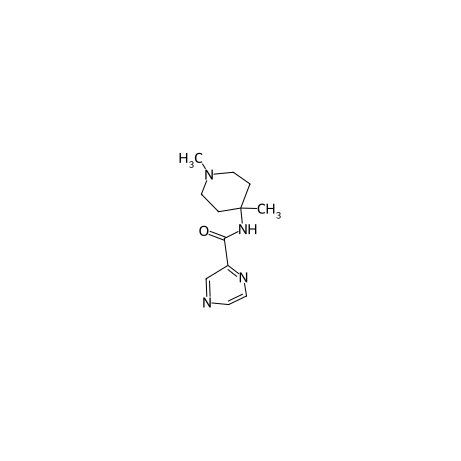 CN1CCC(C)(NC(=O)c2cnccn2)CC1